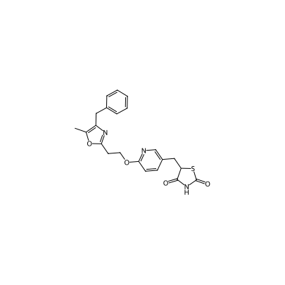 Cc1oc(CCOc2ccc(CC3SC(=O)NC3=O)cn2)nc1Cc1ccccc1